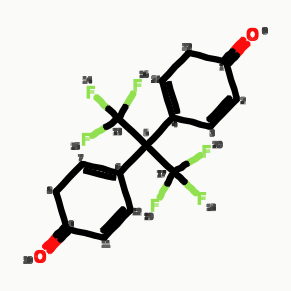 O=C1C=CC(C(C2=CCC(=O)C=C2)(C(F)(F)F)C(F)(F)F)=CC1